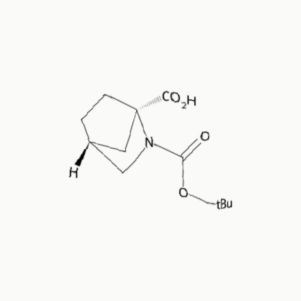 CC(C)(C)OC(=O)N1C[C@@H]2CC[C@]1(C(=O)O)C2